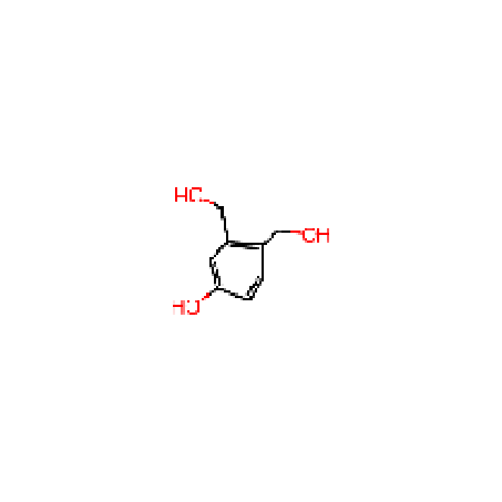 OCc1ccc(O)cc1CO